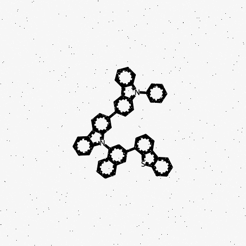 c1ccc(-n2c3ccccc3c3cc(-c4ccc5c6ccccc6n(-c6cc(-c7cccc8c7sc7ccccc78)cc7ccccc67)c5c4)ccc32)cc1